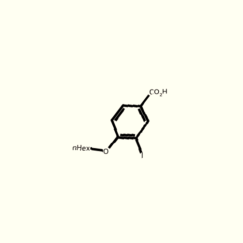 CCCCCCOc1ccc(C(=O)O)cc1I